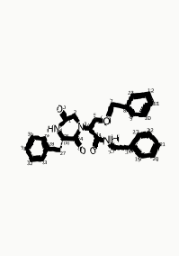 O=C1CN(C(COCc2ccccc2)C(=O)NCc2ccccc2)C(=O)[C@H](Cc2ccccc2)N1